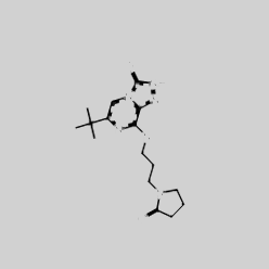 CC(C)(C)c1cn2c(=O)[nH]nc2c(NCCCN2CCCC2=O)n1